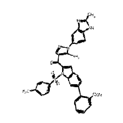 COc1ccccc1-c1ccc2cc(C(=O)c3cnn(-c4ccc5[nH]c(C)nc5c4)c3N)n(S(=O)(=O)c3ccc(C)cc3)c2c1